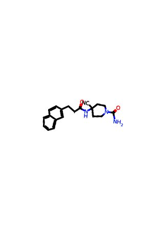 N#CC1(NC(=O)[CH]Cc2ccc3ccccc3c2)CCN(C(N)=O)CC1